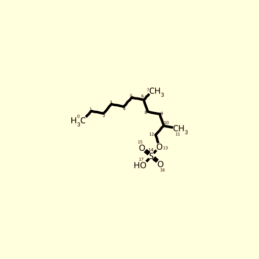 CCCCCCC(C)CCC(C)COS(=O)(=O)O